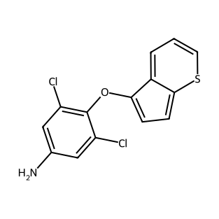 Nc1cc(Cl)c(Oc2ccc3scccc2-3)c(Cl)c1